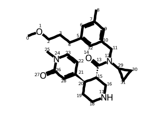 COCCCc1cc(C)cc(CN(C(=O)[C@@H]2CNCC[C@H]2c2ccn(C)c(=O)c2)C2CC2)c1